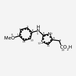 COc1ccc(Nc2nc(CC(=O)O)cs2)cc1